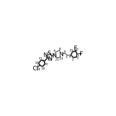 Fc1ccc(CCN2CCN(c3nc(-c4ccc(Cl)cc4)ns3)CC2)cc1F